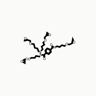 O=C(NCCCCOCC1CO1)c1ccc(C(=O)N(CCCCOCC2CO2)N(CCCCOCC2CO2)CCCCOCC2CO2)cc1